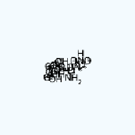 NC1CC(n2ccc(=O)[nH]c2=O)OC1COP(=O)(O)OP(=O)(O)OP(=O)(O)O